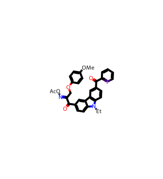 CCn1c2ccc(C(=O)C3=IC=CC=C3)cc2c2cc(C(=O)/C(COc3ccc(OC)cc3)=N/OC(C)=O)ccc21